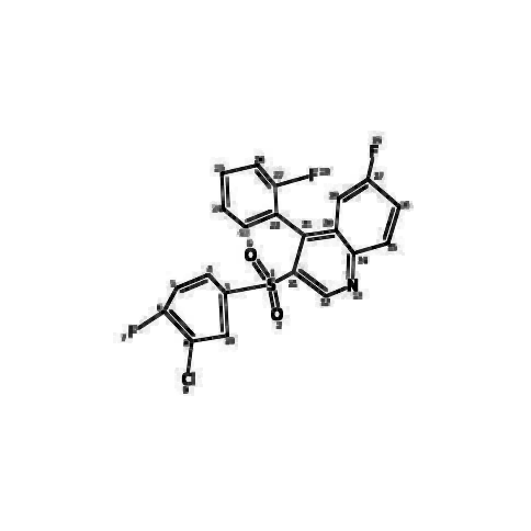 O=S(=O)(c1ccc(F)c(Cl)c1)c1cnc2ccc(F)cc2c1-c1ccccc1F